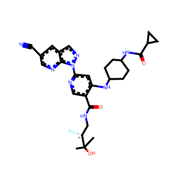 CC(C)(O)[C@H](F)CNC(=O)c1cnc(-n2ncc3cc(C#N)cnc32)cc1NC1CCC(NC(=O)C2CC2)CC1